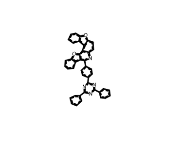 c1ccc(-c2nc(-c3ccccc3)nc(-c3ccc(-c4nc5ccc6oc7ccccc7c6c5c5oc6ccccc6c45)cc3)n2)cc1